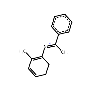 CC1=C(/N=C(\C)c2ccccc2)CCC=C1